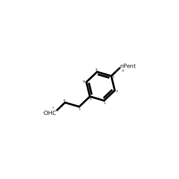 CCCCCc1ccc(CC[C]=O)cc1